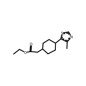 CCOC(=O)CC1CCC(c2scnc2C)CC1